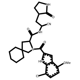 COc1ccc(Cl)c2[nH]c(C(=O)N3CC4(CCCCC4)CC3C(=O)NC(C#N)CC3CCNC3=O)cc12